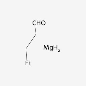 CCCCC=O.[MgH2]